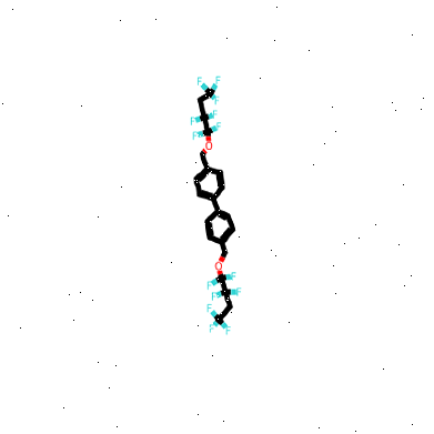 FC(F)(F)CC(F)(F)C(F)(F)OCc1ccc(-c2ccc(COC(F)(F)C(F)(F)CC(F)(F)F)cc2)cc1